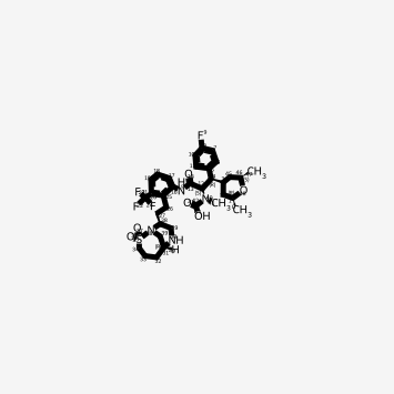 C[C@@H]1CC([C@H](c2ccc(F)cc2)[C@@H](C(=O)Nc2cccc(C(F)(F)F)c2CC[C@H]2CN[C@@H]3CCCS(=O)(=O)N2C3)N(C)C(=O)O)C[C@H](C)O1